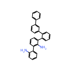 Nc1ccccc1-c1cccc(-c2ccccc2-c2cccc(-c3ccccc3)c2)c1N